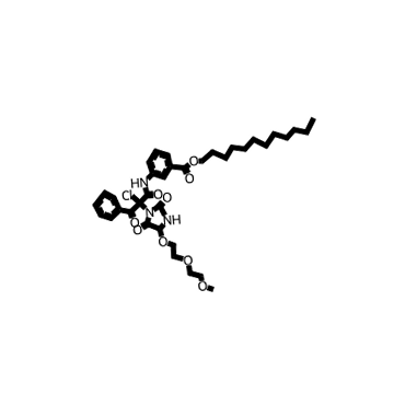 CCCCCCCCCCCCOC(=O)c1cccc(NC(=O)C(Cl)(C(=O)c2ccccc2)N2C(=O)NC(OCCOCCOC)C2=O)c1